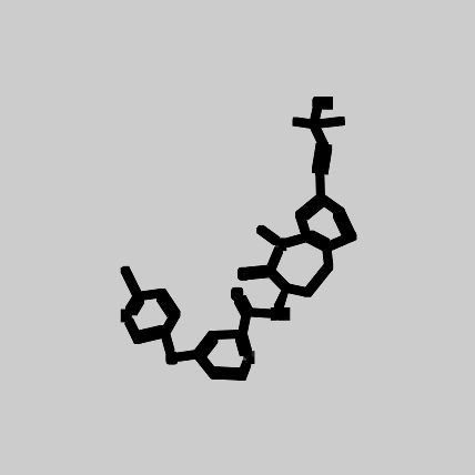 Cc1ccc(Oc2ccnc(C(=O)N[C@@H]3CCc4ccc(C#CC(C)(C)O)cc4N(C)C3=O)c2)cn1